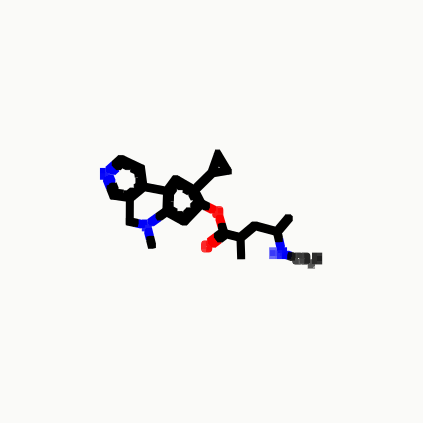 CC(CC(C)C(=O)Oc1cc2c(cc1C1CC1)-c1ccncc1CN2C)NC(=O)O